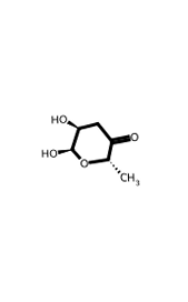 C[C@@H]1O[C@@H](O)[C@@H](O)CC1=O